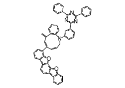 C=C1/C=C(c2cccc3c2oc2c3ccc3c4ccccc4oc32)\C=C/CN(c2cccc(-c3nc(-c4ccccc4)nc(-c4ccccc4)n3)c2)c2ccccc21